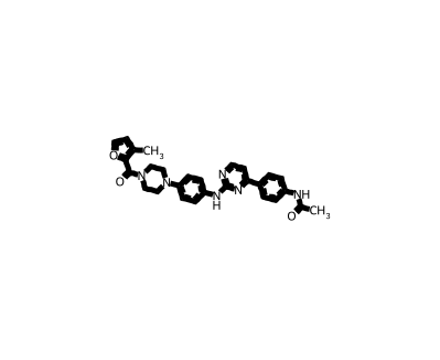 CC(=O)Nc1ccc(-c2ccnc(Nc3ccc(N4CCN(C(=O)c5occc5C)CC4)cc3)n2)cc1